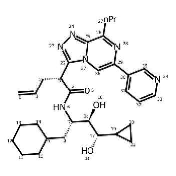 C=CC[C@@H](C(=O)N[C@@H](CC1CCCCC1)[C@@H](O)[C@@H](O)C1CC1)c1nnc2c(CCC)nc(-c3cccnc3)cn12